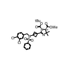 COC(=O)[C@@H]1N(C(=O)OC(C)(C)C)C(C23CC(N(Cc4ccc(Cl)c(Cl)c4)S(=O)(=O)c4ccccc4)(C2)C3)=NC1(C)C